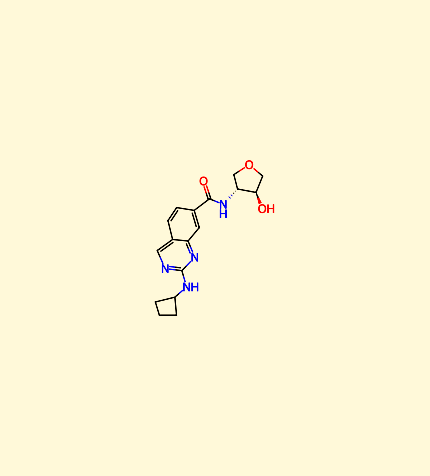 O=C(N[C@@H]1COC[C@H]1O)c1ccc2cnc(NC3CCC3)nc2c1